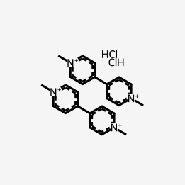 C[n+]1ccc(-c2cc[n+](C)cc2)cc1.C[n+]1ccc(-c2cc[n+](C)cc2)cc1.Cl.Cl